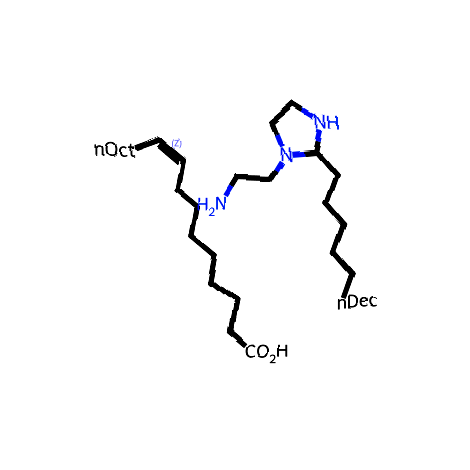 CCCCCCCC/C=C\CCCCCCCC(=O)O.CCCCCCCCCCCCCCCC1NCCN1CCN